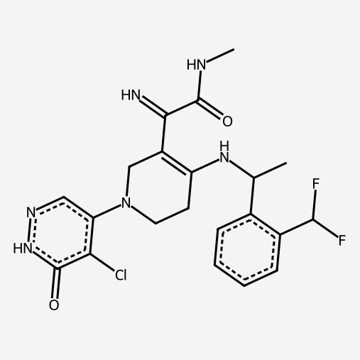 CNC(=O)C(=N)C1=C(NC(C)c2ccccc2C(F)F)CCN(c2cn[nH]c(=O)c2Cl)C1